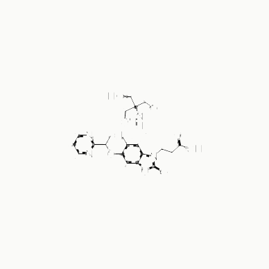 CC(Oc1cc2oc(=O)n(CCC(=O)O)c2cc1Cl)c1ncccn1.NC(CO)(CO)CO